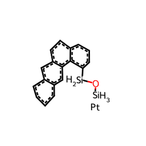 [Pt].[SiH3]O[SiH2]c1cccc2ccc3cc4ccccc4cc3c12